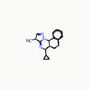 N#CC1C=NN2C1=NC(C1CC1)C1CCc3ccccc3C12